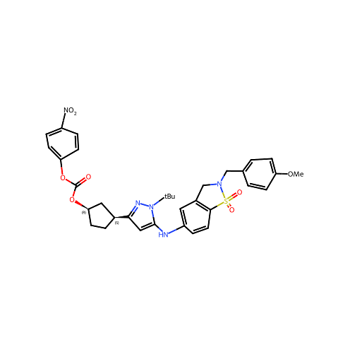 COc1ccc(CN2Cc3cc(Nc4cc([C@H]5CC[C@@H](OC(=O)Oc6ccc([N+](=O)[O-])cc6)C5)nn4C(C)(C)C)ccc3S2(=O)=O)cc1